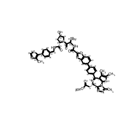 COC(=O)C[C@@H]1N=C(c2ccc(-c3ccc4oc(C(=O)NC(C(=O)N5C[C@H](O)C[C@H]5C(=O)NCc5ccc(-c6scnc6C)cc5)C(C)(C)C)nc4c3)cc2)c2c(sc(C)c2C)-n2c(C)nnc21